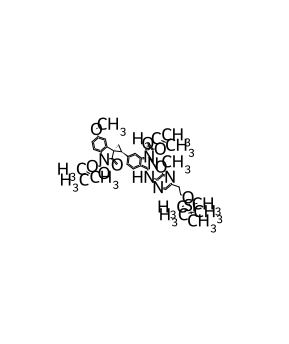 COc1ccc2c(c1)[C@]1(C[C@H]1c1ccc3c(Nc4ncc(CCO[Si](C)(C)C(C)(C)C)nc4OC)nn(C(=O)OC(C)(C)C)c3c1)C(=O)N2C(=O)OC(C)(C)C